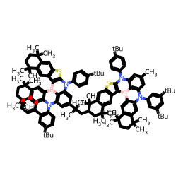 Cc1cc2c3c(c1)N(c1ccc(C(C)(C)C)cc1)c1sc4cc5c(cc4c1B3c1cc3c(cc1N2c1cc(C(C)(C)C)cc(C(C)(C)C)c1)C(C)(C)CCC3(C)C)C(C)(C)CC(CC(C)(C)c1cc2c3c(c1)N(c1ccc(C(C)(C)C)cc1)c1sc4cc6c(cc4c1B3c1cc3c(cc1N2c1ccc(C(C)(C)C)cc1-c1ccccc1)C(C)(C)CCC3(C)C)C(C)(C)CCC6(C)C)C5(C)C